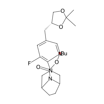 CC(C)(C)OC(=O)N1C2CCC1CN(c1ncc(C[C@@H]3COC(C)(C)O3)cc1F)C2